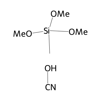 CO[Si](C)(OC)OC.N#CO